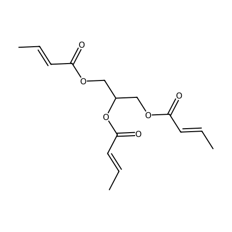 CC=CC(=O)OCC(COC(=O)C=CC)OC(=O)C=CC